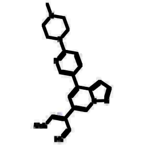 CN/C=C(\C=N)c1cc(-c2ccc(N3CCN(C)CC3)nc2)c2ccnn2c1